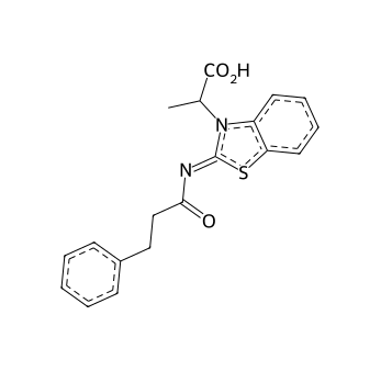 CC(C(=O)O)n1c(=NC(=O)CCc2ccccc2)sc2ccccc21